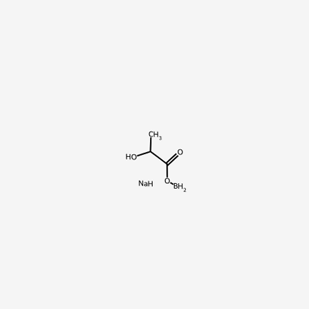 BOC(=O)C(C)O.[NaH]